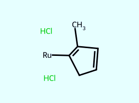 CC1=[C]([Ru])CC=C1.Cl.Cl